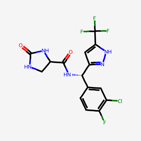 O=C1NCC(C(=O)N[C@@H](c2ccc(F)c(Cl)c2)c2cc(C(F)(F)F)[nH]n2)N1